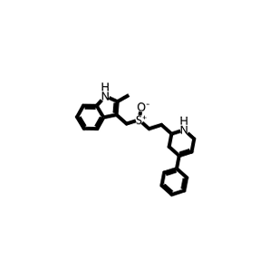 Cc1[nH]c2ccccc2c1C[S+]([O-])CCC1CC(c2ccccc2)=CCN1